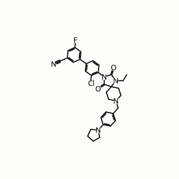 CCN1C(=O)N(c2ccc(-c3cc(F)cc(C#N)c3)cc2Cl)C(=O)C12CCN(Cc1ccc(N3CCCC3)cc1)CC2